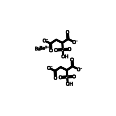 O=C([O-])CC(C(=O)[O-])S(=O)(=O)O.O=C([O-])CC(C(=O)[O-])S(=O)(=O)O.[Ba+2].[Ba+2]